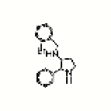 Brc1ccccc1CNC1CCNC1c1ccccc1